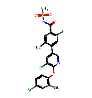 Cc1cc(Br)ccc1Oc1ncc(-c2cc(F)c(C(=O)NS(C)(=O)=O)cc2C)cc1Cl